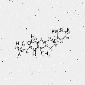 Cc1cc2c(c(C)c1NC(=O)CC1(C)CC1)CCN(c1ccc(F)cc1F)C2